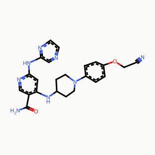 N#CCOc1ccc(N2CCC(Nc3cc(Nc4cnccn4)ncc3C(N)=O)CC2)cc1